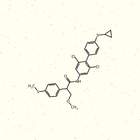 COCC(C(=O)Nc1cc(Cl)c(-c2ccc(SC3CC3)cc2)c(Cl)c1)c1ccc(SC)cc1